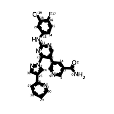 NC(=O)c1cncc(-c2cnc(Nc3ccc(F)c(Cl)c3)nc2-n2cc(-c3ccccn3)cn2)c1